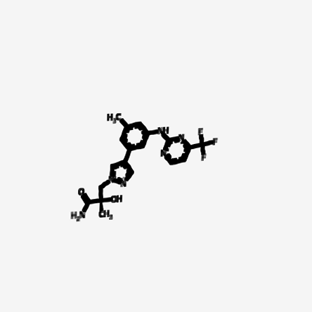 Cc1cc(Nc2nccc(C(F)(F)F)n2)cc(-c2cnn(C[C@](C)(O)C(N)=O)c2)c1